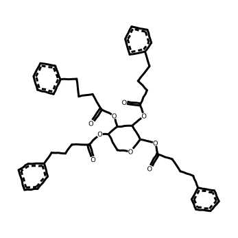 O=C(CCCc1ccccc1)OC1COC(OC(=O)CCCc2ccccc2)C(OC(=O)CCCc2ccccc2)C1OC(=O)CCCc1ccccc1